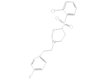 O=S(=O)(c1ccccc1Cl)C1CCN(CCc2ccc(F)cc2)CC1